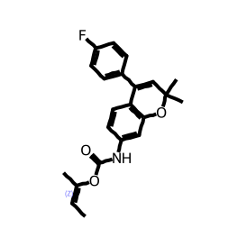 C/C=C(/C)OC(=O)Nc1ccc2c(c1)OC(C)(C)C=C2c1ccc(F)cc1